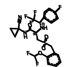 N#CC1(NC(=O)[C@H](CS(=O)(=O)Cc2ccccc2OC(F)F)N[C@@H](c2ccc(F)cc2)C(F)(F)F)CC1